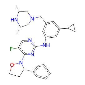 C[C@@H]1CN(Cc2cc(Nc3ncc(F)c(N4OCC[C@H]4c4ccccc4)n3)cc(C3CC3)c2)C[C@H](C)N1